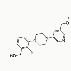 COCc1cncc(N2CCN(c3cccc(CO)c3F)CC2)c1